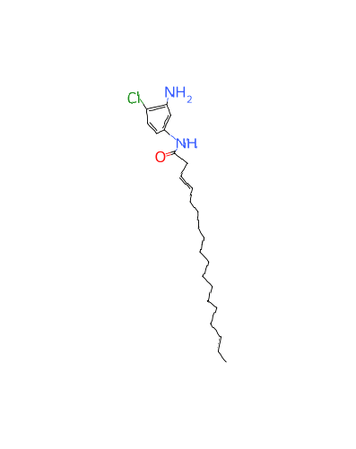 CCCCCCCCCCCCCCC=CCC(=O)Nc1ccc(Cl)c(N)c1